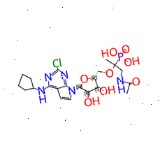 CC(=O)NCC(C)(OC[C@H]1O[C@@H](n2ccc3c(NC4CCCC4)nc(Cl)nc32)[C@H](O)[C@@H]1O)P(=O)(O)O